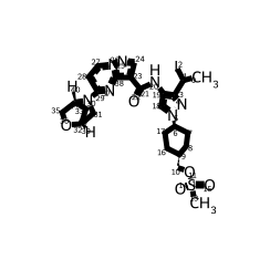 CC(I)c1nn([C@H]2CC[C@H](COS(C)(=O)=O)CC2)cc1NC(=O)c1cnn2ccc(N3C[C@H]4C[C@@H]3CO4)nc12